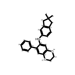 CC1(C)Cc2ccc(Nc3cc4c(cc3-c3ccccc3)OCCO4)cc2C1